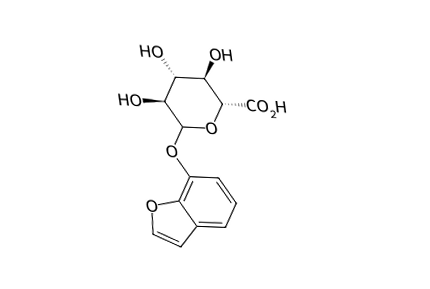 O=C(O)[C@@H]1OC(Oc2cccc3ccoc23)[C@@H](O)[C@H](O)[C@H]1O